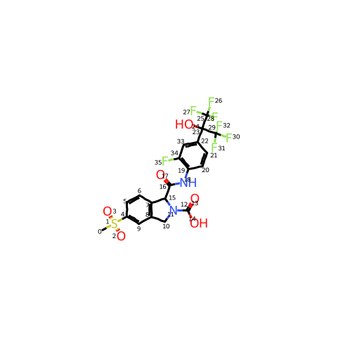 CS(=O)(=O)c1ccc2c(c1)CN(C(=O)O)C2C(=O)Nc1ccc(C(O)(C(F)(F)F)C(F)(F)F)cc1F